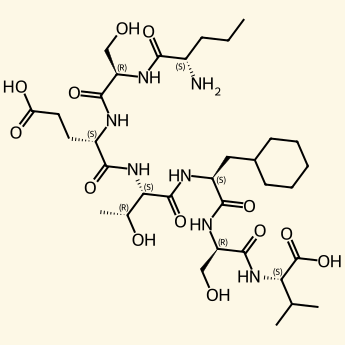 CCC[C@H](N)C(=O)N[C@H](CO)C(=O)N[C@@H](CCC(=O)O)C(=O)N[C@H](C(=O)N[C@@H](CC1CCCCC1)C(=O)N[C@H](CO)C(=O)N[C@H](C(=O)O)C(C)C)[C@@H](C)O